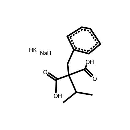 CC(C)C(Cc1ccccc1)(C(=O)O)C(=O)O.[KH].[NaH]